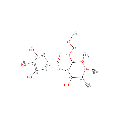 COCOC(OC)C(OC(=O)c1cc(O)c(O)c(O)c1)C(O)C(C)OC